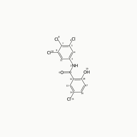 O=C(Nc1cc(Cl)c(Cl)c(Cl)c1)c1cc(Cl)ccc1O